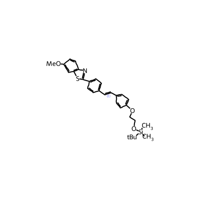 COc1ccc2nc(-c3ccc(/C=C/c4ccc(OCCO[Si](C)(C)C(C)(C)C)cc4)cc3)sc2c1